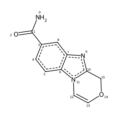 NC(=O)c1ccc2c(c1)nc1n2C=COC1